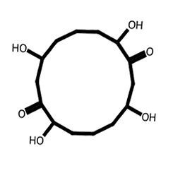 O=C1CC(O)CCCC(O)C(=O)CC(O)CCCC1O